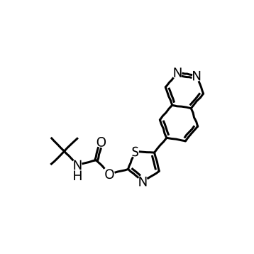 CC(C)(C)NC(=O)Oc1ncc(-c2ccc3cnncc3c2)s1